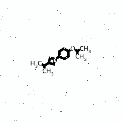 CC(C)OC1CCC(N2CC(C(C)C)C2)CC1